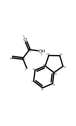 C=C(C)C(=O)O.c1ccc2c(c1)CCC2